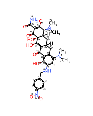 CN(C)c1cc(NCc2ccc([N+](=O)[O-])cc2)c(O)c2c1C[C@H]1C[C@H]3[C@H](N(C)C)C(O)=C(C(N)=O)C(=O)[C@@]3(O)C(O)=C1C2=O